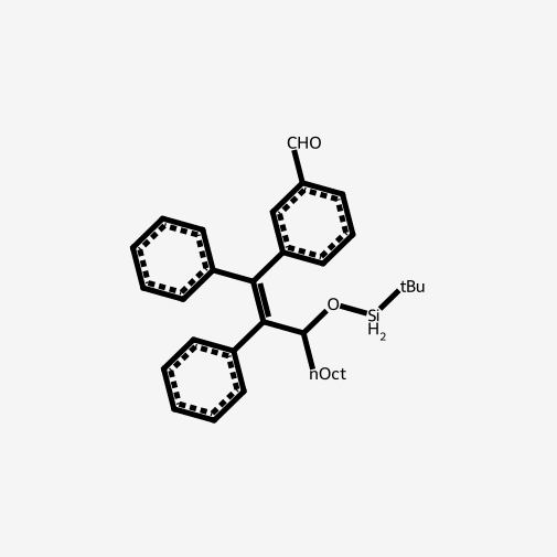 CCCCCCCCC(O[SiH2]C(C)(C)C)C(=C(c1ccccc1)c1cccc(C=O)c1)c1ccccc1